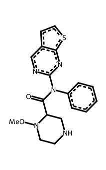 CON1CCNCC1C(=O)N(c1ccccc1)c1ncc2ccsc2n1